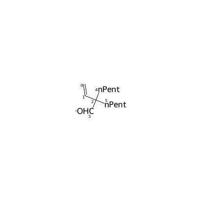 C=CC([C]=O)(CCCCC)CCCCC